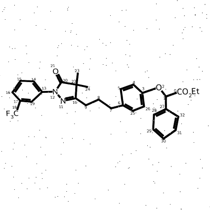 CCOC(=O)C(Oc1ccc(CCCC2=NN(c3cccc(C(F)(F)F)c3)C(=O)C2(C)C)cc1)c1ccccc1